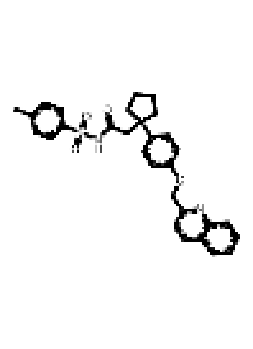 Cc1ccc(S(=O)(=O)NC(=O)CC2(c3ccc(OCc4ccc5ccccc5n4)cc3)CCCC2)cc1